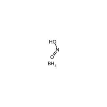 B.O=NO